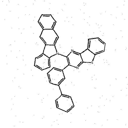 c1ccc(-c2cccc(-c3nc4sc5ccccc5c4nc3-n3c4ccccc4c4cc5ccccc5cc43)c2)cc1